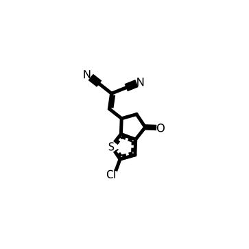 N#CC(C#N)=CC1CC(=O)c2cc(Cl)sc21